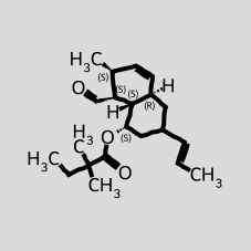 CC=CC1C[C@H](OC(=O)C(C)(C)CC)[C@@H]2[C@@H](C=O)[C@@H](C)C=C[C@H]2C1